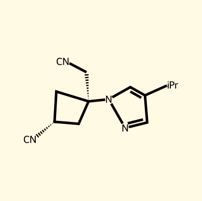 [C-]#[N+]C[C@]1(n2cc(C(C)C)cn2)C[C@H]([N+]#[C-])C1